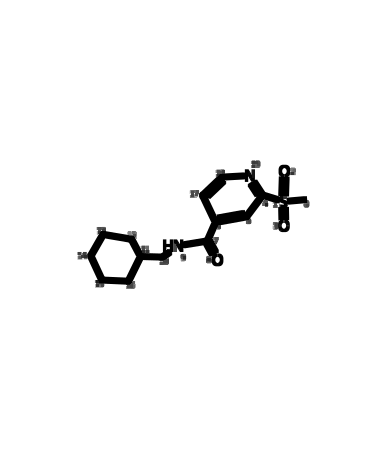 CS(=O)(=O)c1cc(C(=O)NCC2CCCCC2)ccn1